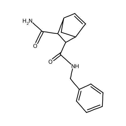 NC(=O)C1C2C=CC(C2)C1C(=O)NCc1ccccc1